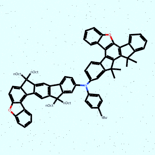 CCCCCCCCC1(CCCCCCCC)c2cc(N(c3ccc(C(C)(C)C)cc3)c3ccc4c(c3)C(C)(C)c3c5c(c6oc7ccccc7c6c3-4)-c3ccccc3C5(C)C)ccc2-c2cc3c(cc21)-c1c(ccc2oc4ccccc4c12)C3(CCCCCCCC)CCCCCCCC